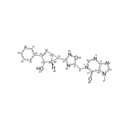 Cn1cnc2ncn(Cc3nc(C4C5C=C(c6ccccc6)C(O)[C@H]54)no3)c(=O)c21